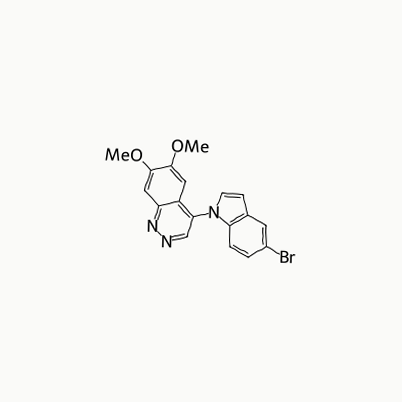 COc1cc2nncc(-n3ccc4cc(Br)ccc43)c2cc1OC